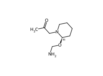 CC(=O)CN1CCCC[C@H]1OCN